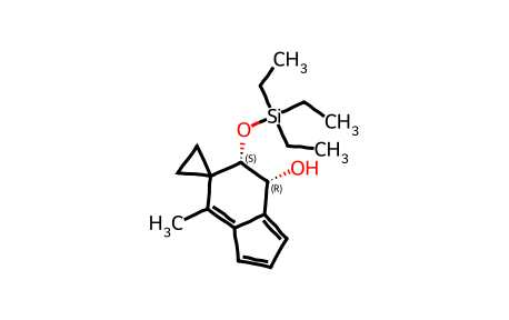 CC[Si](CC)(CC)O[C@@H]1[C@H](O)C2=CC=CC2=C(C)C12CC2